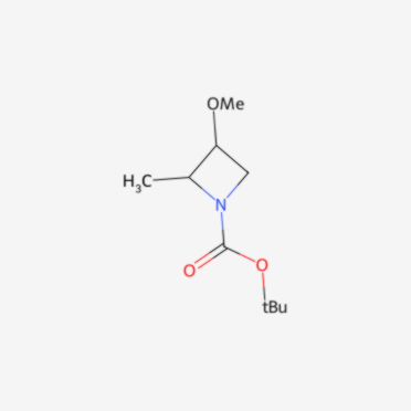 COC1CN(C(=O)OC(C)(C)C)C1C